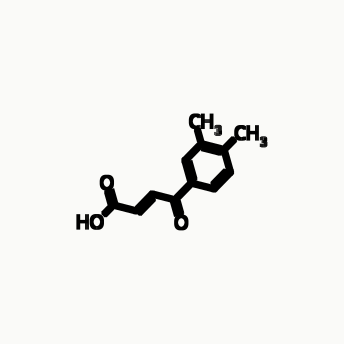 Cc1ccc(C(=O)/C=C/C(=O)O)cc1C